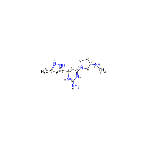 CN[C@@H]1CCN(c2cc(-c3cc(C)n[nH]3)nc(N)n2)C1